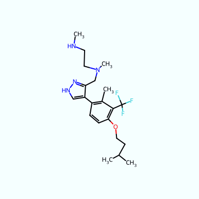 CNCCN(C)Cc1n[nH]cc1-c1ccc(OCCC(C)C)c(C(F)(F)F)c1C